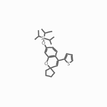 CC(C)[Si](Oc1ccc2c(c1)OC1(C=C2c2cccs2)CCCC1)(C(C)C)C(C)C